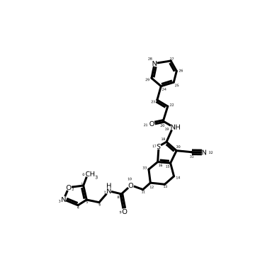 Cc1oncc1CNC(=O)OCC1CCc2c(sc(NC(=O)C=Cc3cccnc3)c2C#N)C1